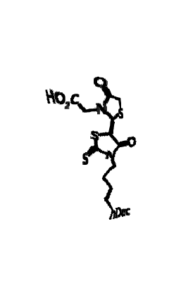 CCCCCCCCCCCCCCN1C(=O)/C(=C2\SCC(=O)N2CC(=O)O)SC1=S